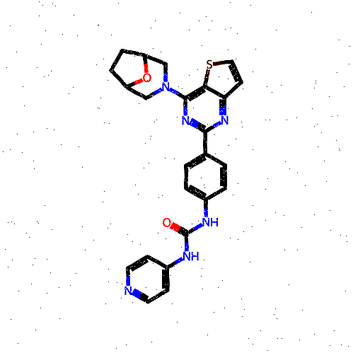 O=C(Nc1ccncc1)Nc1ccc(-c2nc(N3CC4CCC(C3)O4)c3sccc3n2)cc1